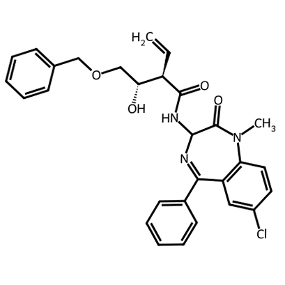 C=C[C@@H](C(=O)NC1N=C(c2ccccc2)c2cc(Cl)ccc2N(C)C1=O)[C@H](O)COCc1ccccc1